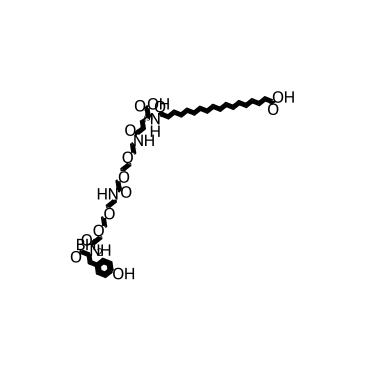 BC(=O)C(Cc1ccc(O)cc1)NC(=O)COCCOCCNC(=O)COCCOCCNC(=O)CC[C@H](NC(=O)CCCCCCCCCCCCCCCCC(=O)O)C(=O)O